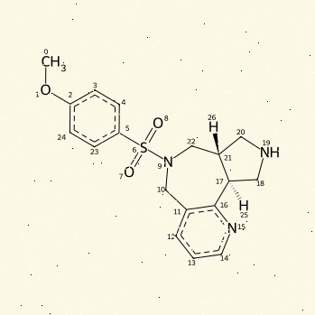 COc1ccc(S(=O)(=O)N2Cc3cccnc3[C@@H]3CNC[C@H]3C2)cc1